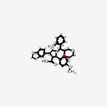 COc1ccc(C2C(C(=O)O)C(c3ccc4c(c3)OCO4)CN2C(c2ccccc2C)C2COCCO2)cc1